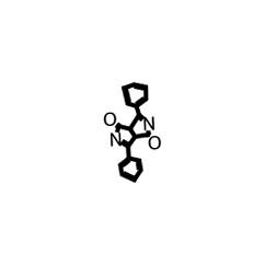 O=C1N=C(c2ccccc2)C2C(=O)N=C(c3ccccc3)C12